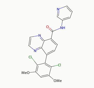 COc1cc(OC)c(Cl)c(-c2ccc(C(=O)Nc3cccnc3)c3nccnc23)c1Cl